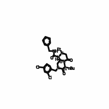 CCCC[C@H]1C(=O)N(Cc2ccc(Cl)cc2Cl)C[C@H]2N1C(=O)CN(CC)N2C(=O)NCc1ccccc1